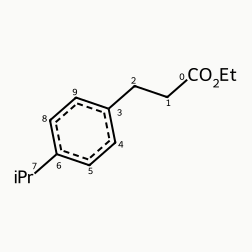 CCOC(=O)CCc1ccc(C(C)C)cc1